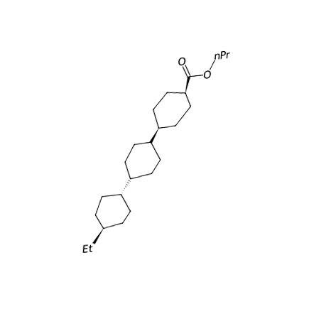 CCCOC(=O)[C@H]1CC[C@@H](C2CCC([C@H]3CC[C@H](CC)CC3)CC2)CC1